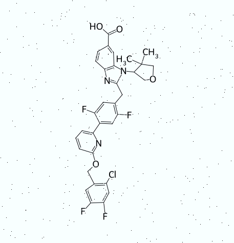 CC1(C)COCC1n1c(Cc2cc(F)c(-c3cccc(OCc4cc(F)c(F)cc4Cl)n3)cc2F)nc2ccc(C(=O)O)cc21